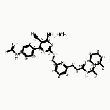 CC(=O)Nc1ccc(-c2nc(SCc3cccc(CCC(=O)NC(C)N4CCCCC4C)n3)nc(N)c2C#N)cc1.Cl